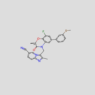 CSc1cccc(-c2cc(F)c3c(c2)N(Cc2c(C)nc4ccc(C#N)cn24)C(=O)[C@@H](C)O3)c1